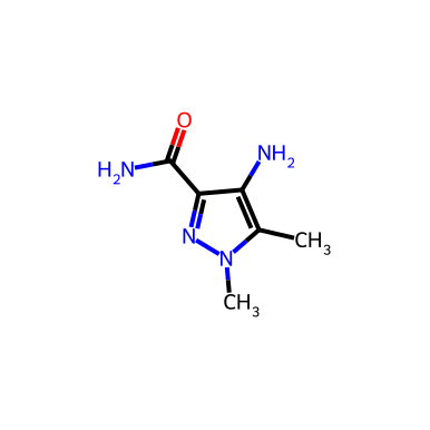 Cc1c(N)c(C(N)=O)nn1C